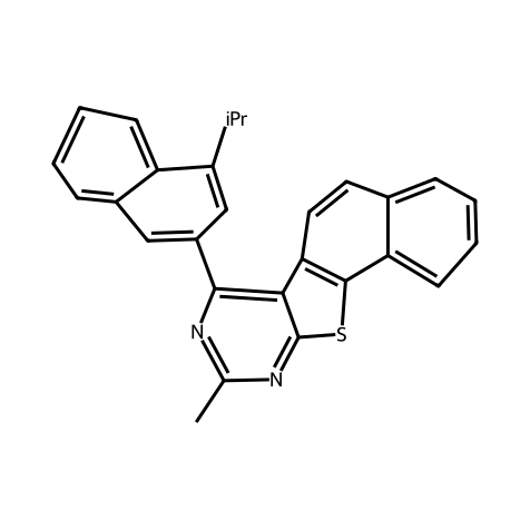 Cc1nc(-c2cc(C(C)C)c3ccccc3c2)c2c(n1)sc1c3ccccc3ccc12